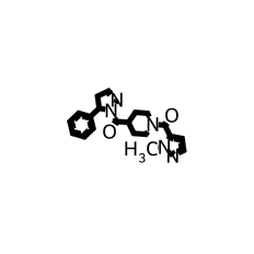 Cn1nccc1C(=O)N1CCC(C(=O)N2N=CCC2c2ccccc2)CC1